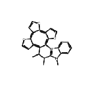 CC1C2=c3\cco\c3=c3/cco/c3=c3\cco\c3=C\2[n+]2c(n(C)c3ccccc32)C1C